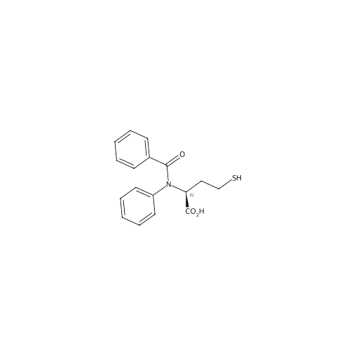 O=C(O)[C@H](CCS)N(C(=O)c1ccccc1)c1ccccc1